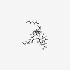 CCCCC/C=C\CC[C@H](C)O[Si](CCCCCCBr)(O[C@@H](C)CC/C=C\CCCCC)O[C@@H](C)CC/C=C\CCCCC